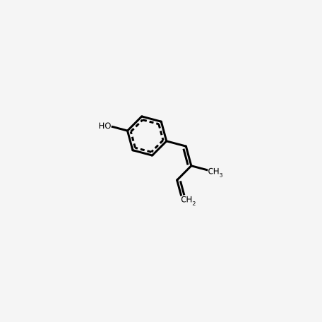 C=CC(C)=Cc1ccc(O)cc1